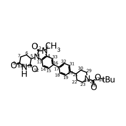 Cn1c(=O)n(C2CCC(=O)NC2=O)c2ccc(-c3ccc(C4CCN(C(=O)OC(C)(C)C)CC4)cc3)cc21